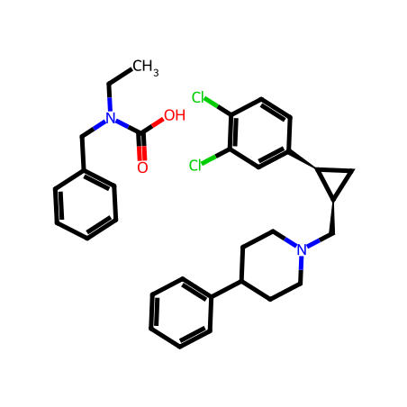 CCN(Cc1ccccc1)C(=O)O.Clc1ccc([C@H]2C[C@H]2CN2CCC(c3ccccc3)CC2)cc1Cl